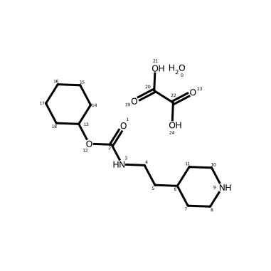 O.O=C(NCCC1CCNCC1)OC1CCCCC1.O=C(O)C(=O)O